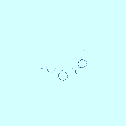 CC1(c2ccc(F)c(NC(=O)c3cccc(SC(F)F)c3)c2)CCSC(N)=N1